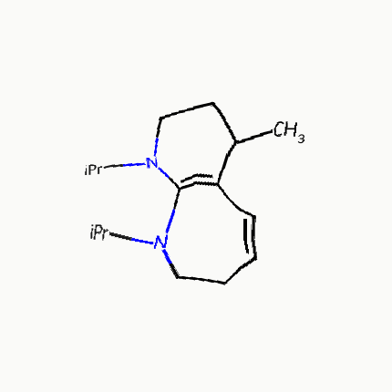 CC1CCN(C(C)C)C2=C1C=CCCN2C(C)C